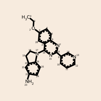 CCOc1ccc2nc(-c3cccnc3)nc(N3CCc4cc(N)ccc43)c2c1